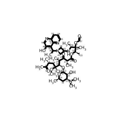 CO[C@](C)(C[C@@H](C)C(C)=O)[C@H](O[C@@H]1O[C@H](C)C[C@H](N(C)C)[C@H]1O)[C@@H](C)C(=O)[C@@H](C)C(=O)O[C@H](I)[C@@](C)(OC=O)[C@@H](C)NC1CN(C(C)c2c(O)cnc3cccnc23)C1